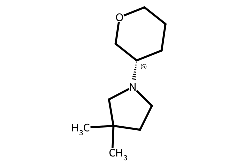 CC1(C)CCN([C@H]2CCCOC2)C1